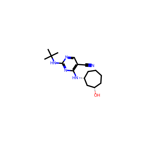 CC(C)(C)Nc1ncc(C#N)c(N[C@@H]2CCCC[C@H](O)C2)n1